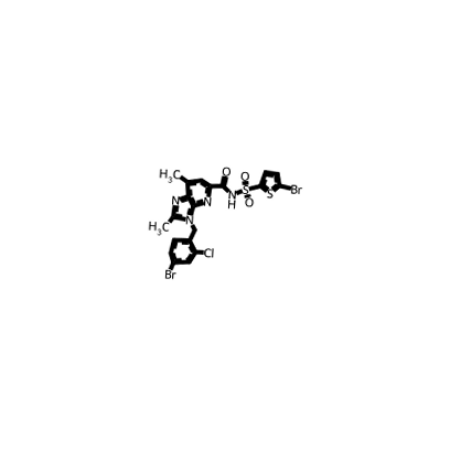 Cc1cc(C(=O)NS(=O)(=O)c2ccc(Br)s2)nc2c1nc(C)n2Cc1ccc(Br)cc1Cl